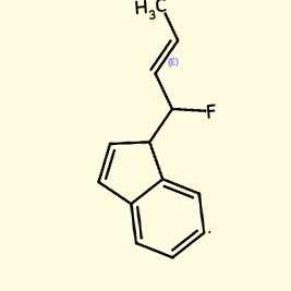 C/C=C/C(F)C1C=Cc2cc[c]cc21